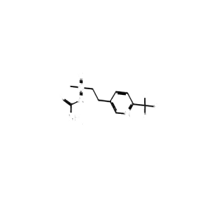 CS(=O)(CCc1ccc(C(F)(F)F)nc1)=NC(N)=S